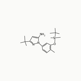 Cc1ccc(-n2nc(C(C)(C)C)cc2N)cc1O[Si](C)(C)C(C)(C)C